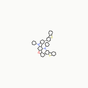 c1ccc(N(c2ccc3sc4ccccc4c3c2)c2c3c(cc4c2c2cc(-c5ccc6sc7ccccc7c6c5)ccc2n4-c2ccccc2)oc2ccccc23)cc1